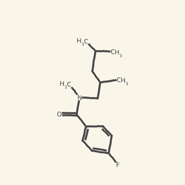 CC(C)CC(C)CN(C)C(=O)c1ccc(F)cc1